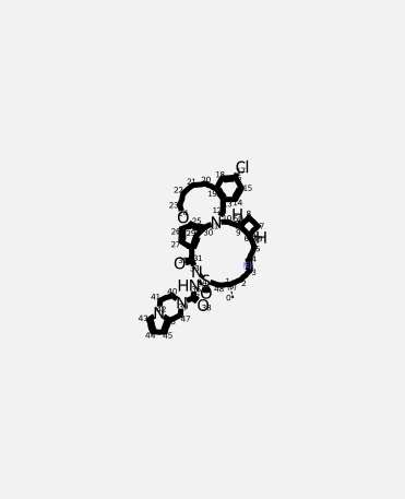 C[C@H]1C/C=C/C[C@@H]2CC[C@H]2CN2Cc3ccc(Cl)cc3CCCCOc3ccc(cc32)C(=O)N=S(=O)(NC(=O)N2CCn3cccc3C2)C1